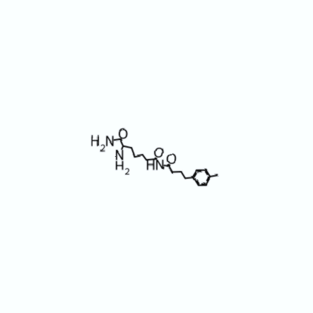 Cc1ccc(CCCC(=O)NC(=O)CCCCC(N)C(N)=O)cc1